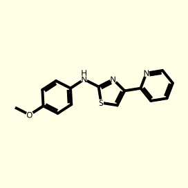 COc1ccc(Nc2nc(-c3ccccn3)cs2)cc1